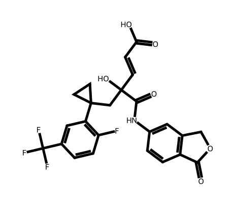 O=C(O)/C=C/C(O)(CC1(c2cc(C(F)(F)F)ccc2F)CC1)C(=O)Nc1ccc2c(c1)COC2=O